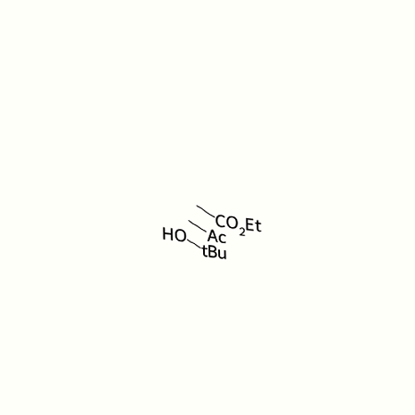 CC(C)(C)O.CC(C)=O.CCOC(C)=O